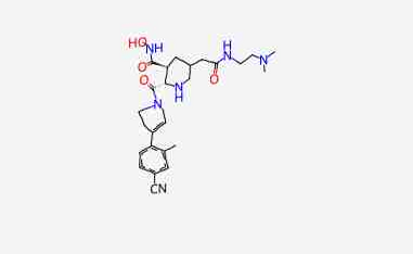 Cc1cc(C#N)ccc1C1=CCN(C(=O)[C@H]2NCC(CC(=O)NCCN(C)C)C[C@@H]2C(=O)NO)CC1